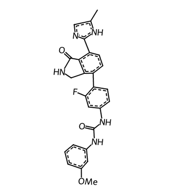 COc1cccc(NC(=O)Nc2ccc(-c3ccc(-c4ncc(C)[nH]4)c4c3CNC4=O)c(F)c2)c1